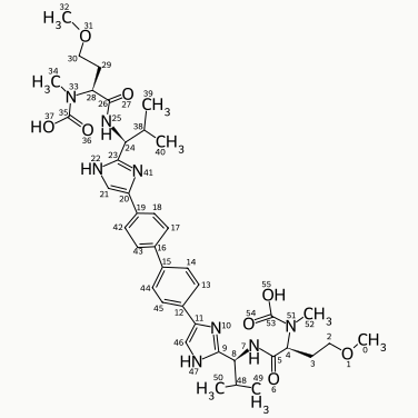 COCC[C@@H](C(=O)N[C@H](c1nc(-c2ccc(-c3ccc(-c4c[nH]c([C@@H](NC(=O)[C@H](CCOC)N(C)C(=O)O)C(C)C)n4)cc3)cc2)c[nH]1)C(C)C)N(C)C(=O)O